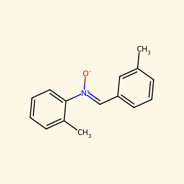 Cc1cccc(C=[N+]([O-])c2ccccc2C)c1